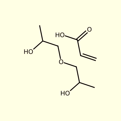 C=CC(=O)O.CC(O)COCC(C)O